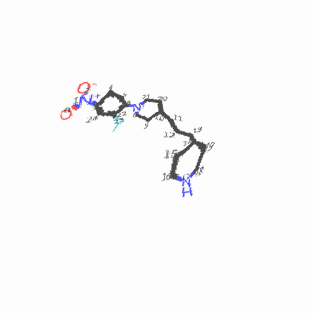 O=[N+]([O-])c1ccc(N2CCC(CCCC3CCNCC3)CC2)c(F)c1